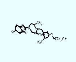 CCOC(=O)COc1cc(C)cc(CN2C(C)CN(c3nc4ccc(Cl)cc4s3)CC2C)c1